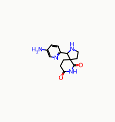 Nc1ccc(C2NCCC23CCC(=O)NC3=O)nc1